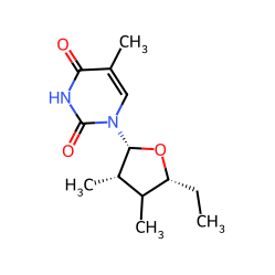 CC[C@H]1O[C@@H](n2cc(C)c(=O)[nH]c2=O)[C@@H](C)C1C